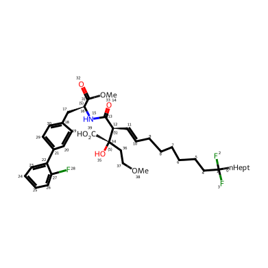 CCCCCCCC(F)(F)CCCCCCC=C[C@H](C(=O)N[C@@H](Cc1ccc(-c2ccccc2F)cc1)C(=O)OC)[C@@](O)(CCOC)C(=O)O